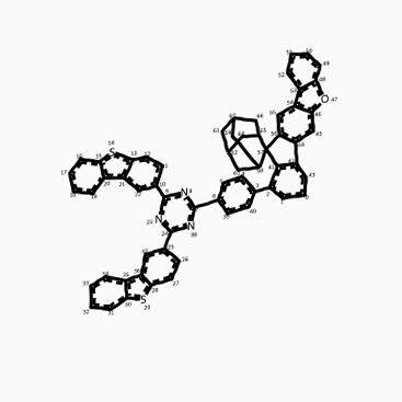 c1cc(-c2ccc(-c3nc(-c4ccc5sc6ccccc6c5c4)nc(-c4ccc5sc6ccccc6c5c4)n3)cc2)c2c(c1)-c1cc3oc4ccccc4c3cc1C21C2CC3CC(C2)CC1C3